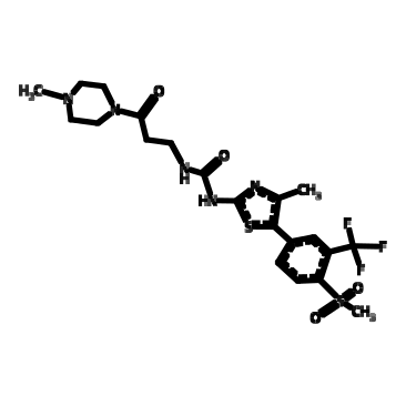 Cc1nc(NC(=O)NCCC(=O)N2CCN(C)CC2)sc1-c1ccc(S(C)(=O)=O)c(C(F)(F)F)c1